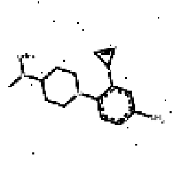 CCCCCCN(C)C1CCN(c2ccc(N)cc2C2C=C2)CC1